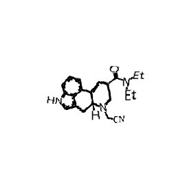 CCN(CC)C(=O)[C@@H]1C=C2c3cccc4[nH]cc(c34)C[C@H]2N(CC#N)C1